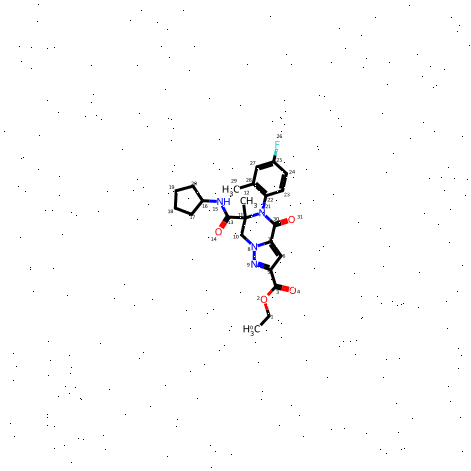 CCOC(=O)c1cc2n(n1)CC(C)(C(=O)NC1CCCC1)N(c1ccc(F)cc1C)C2=O